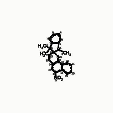 CN1c2ccccc2C(C)(C)C12C=Cc1cc([N+](=O)[O-])c3ccccc3c1S2